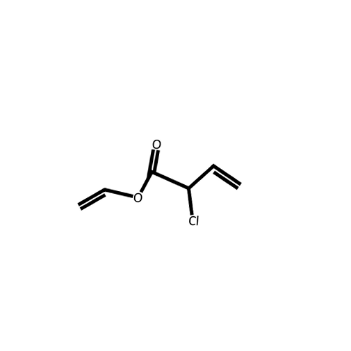 C=COC(=O)C(Cl)C=C